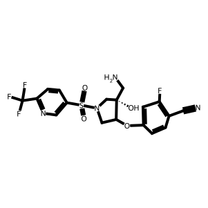 N#Cc1ccc(OC2CN(S(=O)(=O)c3ccc(C(F)(F)F)nc3)C[C@@]2(O)CN)cc1F